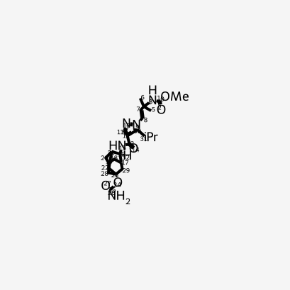 COC(=O)NC(C)(C)/C=C/n1ncc(C(=O)N[C@H]2C3CC4CC2C[C@](OC(N)=O)(C4)C3)c1C(C)C